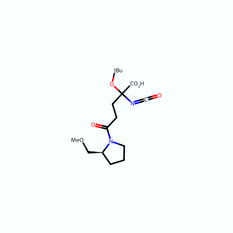 COC[C@@H]1CCCN1C(=O)CCC(N=C=O)(OC(C)(C)C)C(=O)O